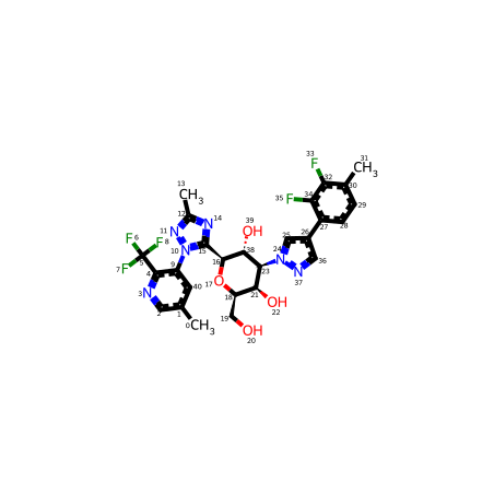 Cc1cnc(C(F)(F)F)c(-n2nc(C)nc2[C@@H]2O[C@H](CO)[C@H](O)[C@H](n3cc(-c4ccc(C)c(F)c4F)cn3)[C@H]2O)c1